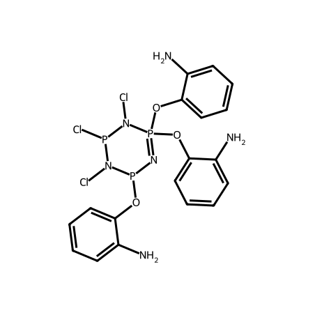 Nc1ccccc1OP1N=P(Oc2ccccc2N)(Oc2ccccc2N)N(Cl)P(Cl)N1Cl